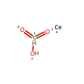 O=[SH](=O)O.[Ce]